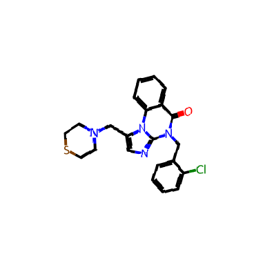 O=c1c2ccccc2n2c(CN3CCSCC3)cnc2n1Cc1ccccc1Cl